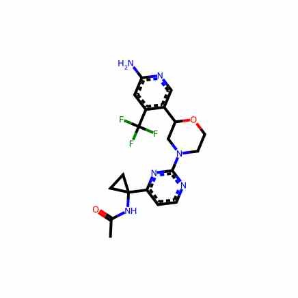 CC(=O)NC1(c2ccnc(N3CCOC(c4cnc(N)cc4C(F)(F)F)C3)n2)CC1